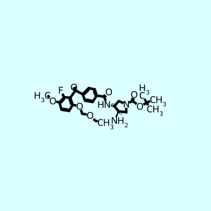 CCOCOc1ccc(OC)c(F)c1C(=O)c1ccc(C(=O)N[C@@H]2CN(C(=O)OC(C)(C)C)C[C@H]2N)cc1